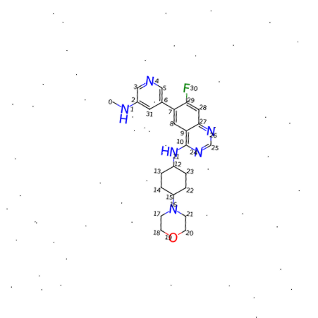 CNc1cncc(-c2cc3c(NC4CCC(N5CCOCC5)CC4)ncnc3cc2F)c1